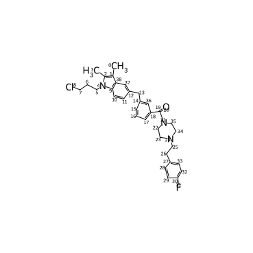 Cc1c(C)n(CCCCl)c2ccc(Cc3cccc(C(=O)N4CCN(CCc5ccc(F)cc5)CC4)c3)cc12